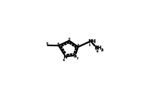 BNc1cc(C)ns1